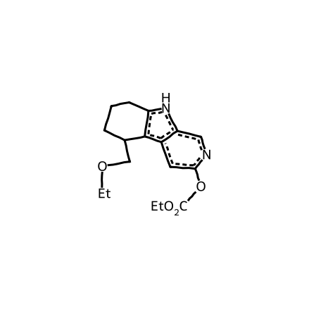 CCOCC1CCCc2[nH]c3cnc(OC(=O)OCC)cc3c21